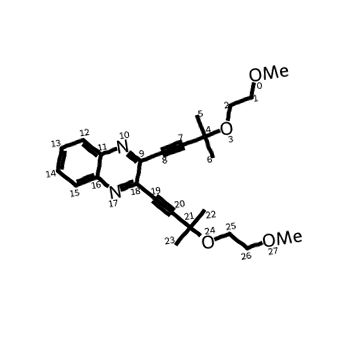 COCCOC(C)(C)C#Cc1nc2ccccc2nc1C#CC(C)(C)OCCOC